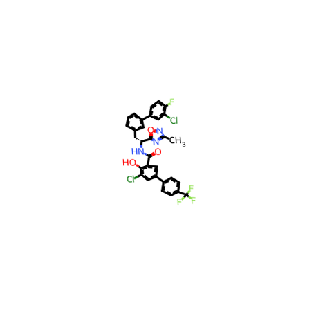 Cc1noc([C@@H](Cc2cccc(-c3ccc(F)c(Cl)c3)c2)NC(=O)c2cc(-c3ccc(C(F)(F)F)cc3)cc(Cl)c2O)n1